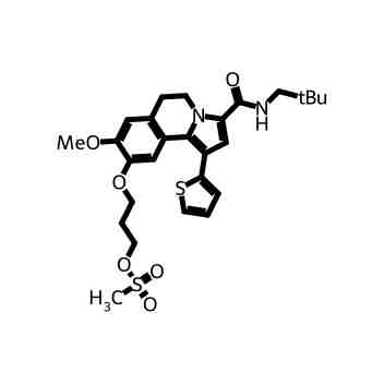 COc1cc2c(cc1OCCCOS(C)(=O)=O)-c1c(-c3cccs3)cc(C(=O)NCC(C)(C)C)n1CC2